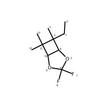 CCC1(C)C2OC(F)(F)OC2C1(C)C